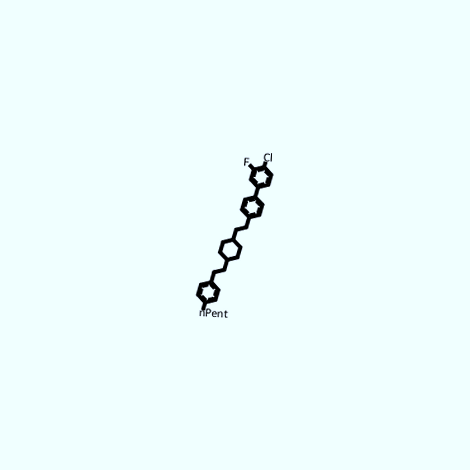 CCCCCc1ccc(CCC2CCC(CCc3ccc(-c4ccc(Cl)c(F)c4)cc3)CC2)cc1